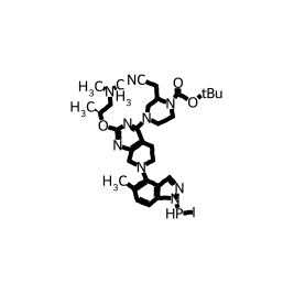 Cc1ccc2c(cnn2PI)c1N1CCc2c(nc(O[C@H](C)CN(C)C)nc2N2CCN(C(=O)OC(C)(C)C)C(CC#N)C2)C1